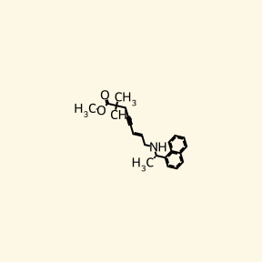 COC(=O)C(C)(C)CC#C/C=C/CN[C@H](C)c1cccc2ccccc12